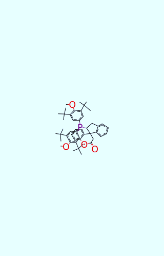 COc1c(C(C)(C)C)cc(P(c2cc(C(C)(C)C)c(OC)c(C(C)(C)C)c2)C2Cc3ccccc3C23CC(=O)Oc2ccccc23)cc1C(C)(C)C